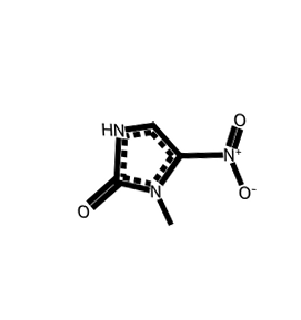 Cn1c([N+](=O)[O-])[c][nH]c1=O